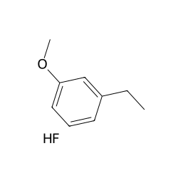 CCc1cccc(OC)c1.F